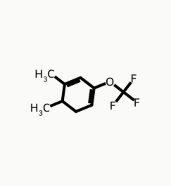 CC1=CC(OC(F)(F)F)=CCC1C